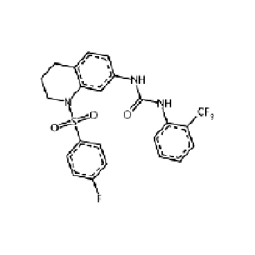 O=C(Nc1ccc2c(c1)N(S(=O)(=O)c1ccc(F)cc1)CCC2)Nc1ccccc1C(F)(F)F